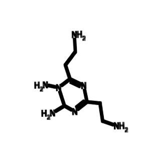 NCCC1=NC(N)N(N)C(CCN)=N1